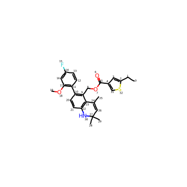 CCc1cc(C(=O)OCc2c(-c3ccc(F)cc3OC)ccc3c2C(C)=CC(C)(C)N3)cs1